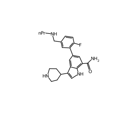 CCCNCc1ccc(F)c(-c2cc(C(N)=O)c3[nH]cc(C4CCNCC4)c3c2)c1